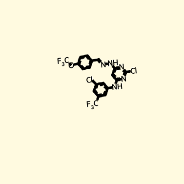 FC(F)(F)Oc1ccc(/C=N/Nc2cc(Nc3cc(Cl)cc(C(F)(F)F)c3)nc(Cl)n2)cc1